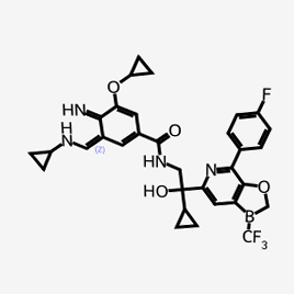 N=C1C(OC2CC2)=CC(C(=O)NCC(O)(c2cc3c(c(-c4ccc(F)cc4)n2)OCB3C(F)(F)F)C2CC2)=C/C1=C/NC1CC1